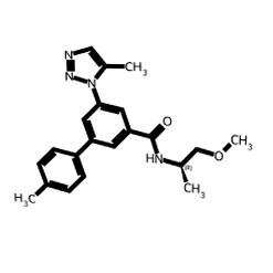 COC[C@@H](C)NC(=O)c1cc(-c2ccc(C)cc2)cc(-n2nncc2C)c1